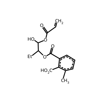 C=CC(=O)OC(O)C(CC)OC(=O)c1cccc(C)c1C(=O)O